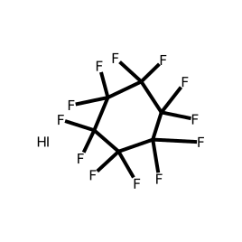 FC1(F)C(F)(F)C(F)(F)C(F)(F)C(F)(F)C1(F)F.I